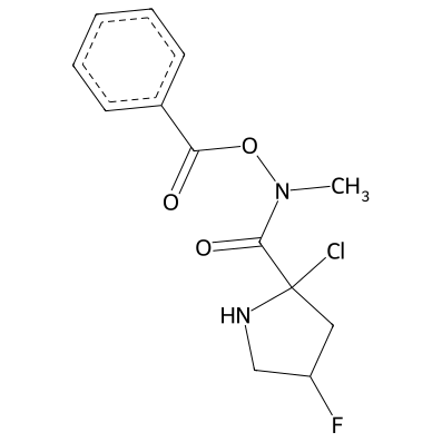 CN(OC(=O)c1ccccc1)C(=O)C1(Cl)CC(F)CN1